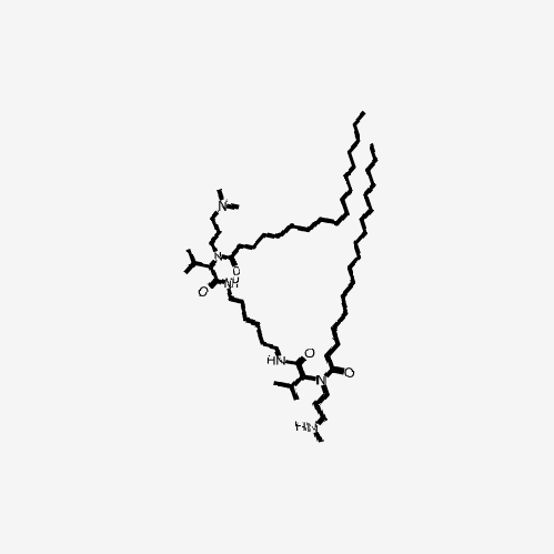 CCCCCCCCCCCCCCCCCC(=O)N(CCCNC)C(C(=O)NCCCCCCNC(=O)C(C(C)C)N(CCCN(C)C)C(=O)CCCCCCCCCCCCCCCCC)C(C)C